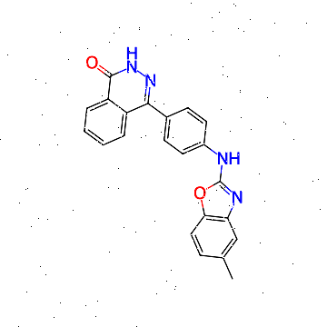 Cc1ccc2oc(Nc3ccc(-c4n[nH]c(=O)c5ccccc45)cc3)nc2c1